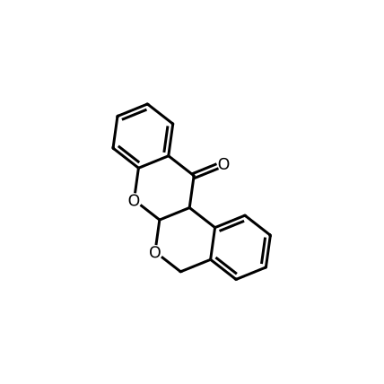 O=C1c2ccccc2OC2OCc3ccccc3C12